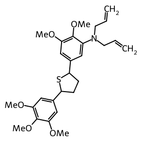 C=CCN(CC=C)c1cc(C2CCC(c3cc(OC)c(OC)c(OC)c3)S2)cc(OC)c1OC